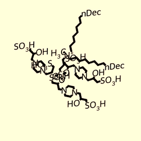 CCCCCCCCCCCCCCCCCC[N+](C)(CCCCCCCCCCCCCCCCCC)CCC[Si](OC(CN1CCN(CC(O)CS(=O)(=O)O)CC1)CS(=O)(=O)O)(OC(CN1CCN(CC(O)CS(=O)(=O)O)CC1)CS(=O)(=O)O)OC(CN1CCN(CC(O)CS(=O)(=O)O)CC1)CS(=O)(=O)O